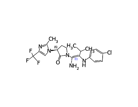 Cc1nc(C(F)(F)F)cn1[C@H]1CCN(/C(N)=C(/Nc2ccc(Cl)cc2)C(C)C)C1=O